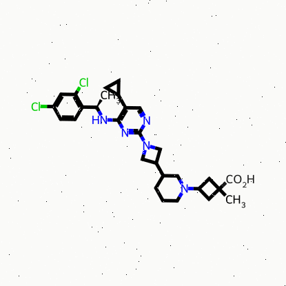 C[C@@H](Nc1nc(N2CC(C3CCCN(C4CC(C)(C(=O)O)C4)C3)C2)ncc1C1CC1)c1ccc(Cl)cc1Cl